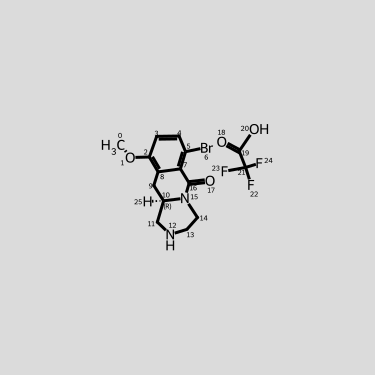 COc1ccc(Br)c2c1C[C@@H]1CNCCN1C2=O.O=C(O)C(F)(F)F